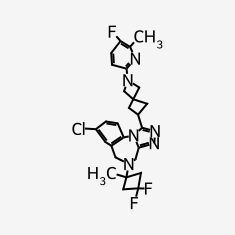 Cc1nc(N2CC3(CC(c4nnc5n4-c4ccc(Cl)cc4CN(C4(C)CC(F)(F)C4)C5)C3)C2)ccc1F